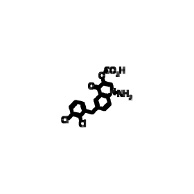 Nn1cc(OC(=O)O)c(=O)c2cc(Cc3cccc(Cl)c3Cl)ccc21